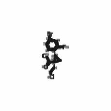 O=C(Cl)[C@]1(CCCl)C[C@H]1c1ccc(Br)cc1F